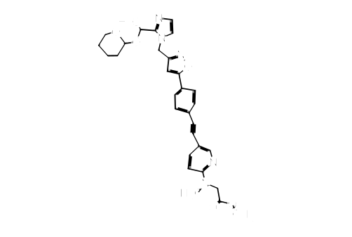 COC(=O)CN(C)c1ccc(C#Cc2ccc(-c3cc(Cn4ccnc4C(C)OC4CCCCO4)no3)cc2)cn1